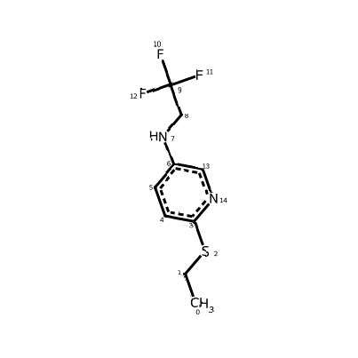 CCSc1ccc(NCC(F)(F)F)cn1